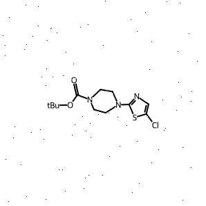 CC(C)(C)OC(=O)N1CCN(c2ncc(Cl)s2)CC1